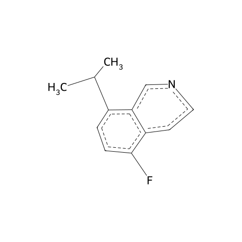 CC(C)c1ccc(F)c2ccncc12